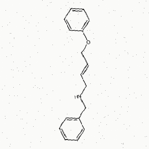 C(=CCOc1ccccc1)CNCc1ccccc1